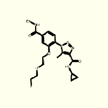 CCNC(=O)c1ccc(-n2nnc(C(=O)NC3CC3)c2C)c(OCCOCCF)c1